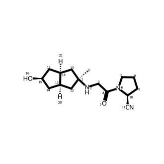 C[C@]1(NCC(=O)N2CCC[C@H]2C#N)C[C@H]2C[C@@H](O)C[C@H]2C1